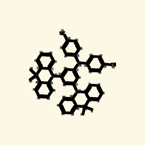 C[Si]1(C)c2ccccc2N(c2cc(N(c3ccc(C#N)cc3)c3ccc(C#N)cc3)cc(N3c4ccccc4[Si](C)(C)c4ccccc43)c2)c2ccccc21